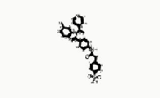 CCS(=O)(=O)c1ccc(CC(=O)Nc2ccc(-c3nc4ccc(C)cc4n3C(C)c3ccncc3)cc2)cc1